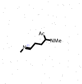 C/N=C/CCC(NC)C(C)=O